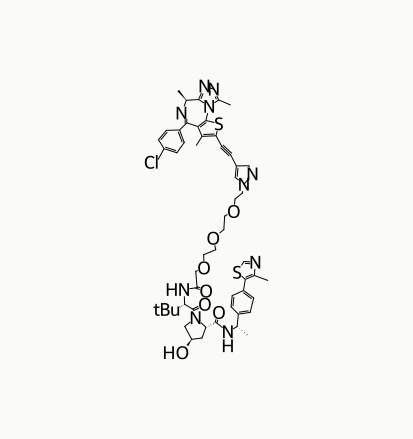 Cc1ncsc1-c1ccc([C@H](C)NC(=O)[C@@H]2C[C@@H](O)CN2C(=O)[C@@H](NC(=O)COCCOCCOCCn2cc(C#Cc3sc4c(c3C)C(c3ccc(Cl)cc3)=N[C@@H](C)c3nnc(C)n3-4)cn2)C(C)(C)C)cc1